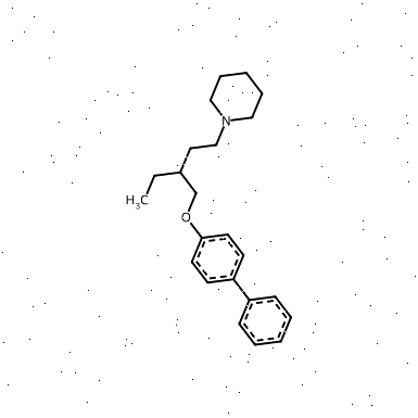 CCC(CCN1CCCCC1)COc1ccc(-c2ccccc2)cc1